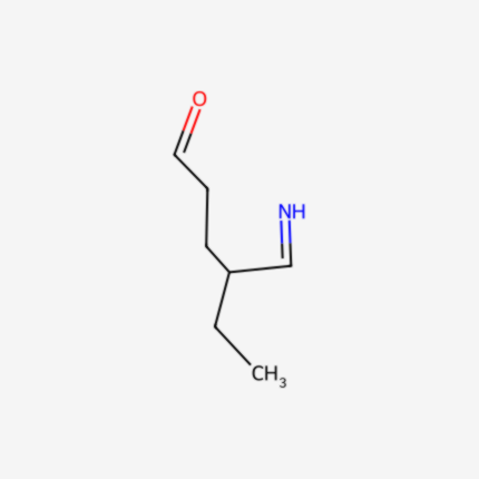 CCC(C=N)CCC=O